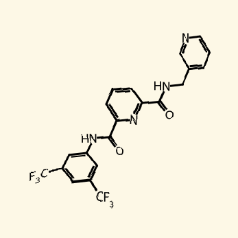 O=C(NCc1cccnc1)c1cccc(C(=O)Nc2cc(C(F)(F)F)cc(C(F)(F)F)c2)n1